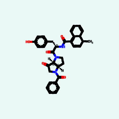 CC1C=CC(C(=O)N[C@@H](Cc2ccc(O)cc2)C(=O)N2CC[C@@H]3[C@H]2C(=O)CN3C(=O)c2ccccc2)=C2C=CC=CC21